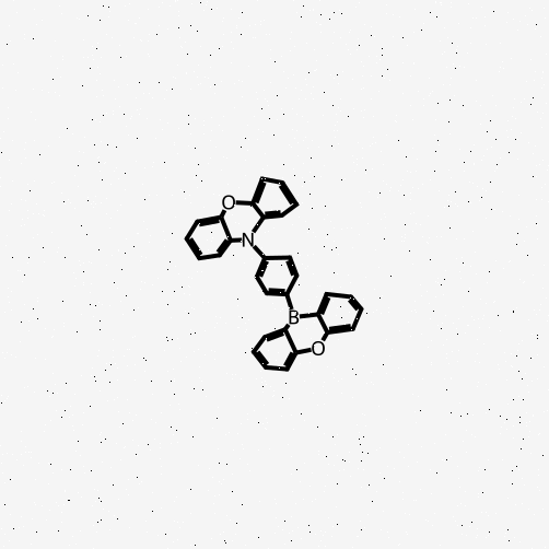 c1ccc2c(c1)Oc1ccccc1B2c1ccc(N2c3ccccc3Oc3ccccc32)cc1